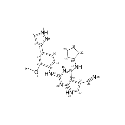 COc1cc(-c2cc[nH]n2)ccc1Nc1nc(NC2CCCC2)c2c(C#N)c[nH]c2n1